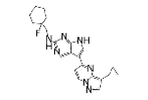 FC1(CNc2ncc3c(-c4ccn5ncc(C6CC6)c5n4)c[nH]c3n2)CCCCC1